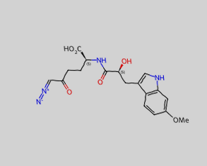 COc1ccc2c(C[C@H](O)C(=O)N[C@@H](CCC(=O)C=[N+]=[N-])C(=O)O)c[nH]c2c1